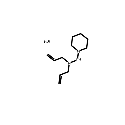 Br.C=CCN(CC=C)PN1CCCCC1